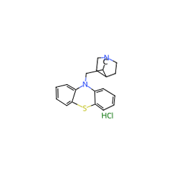 Cl.c1ccc2c(c1)Sc1ccccc1N2CC1CN2CCC1CC2